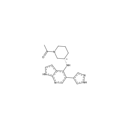 CC(=O)N1CCC[C@H](Nc2c(-c3cn[nH]c3)cnc3[nH]ccc23)C1